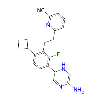 N#Cc1cccc(CCc2c(C3CCC3)ccc(C3C=NC(N)=CN3)c2F)n1